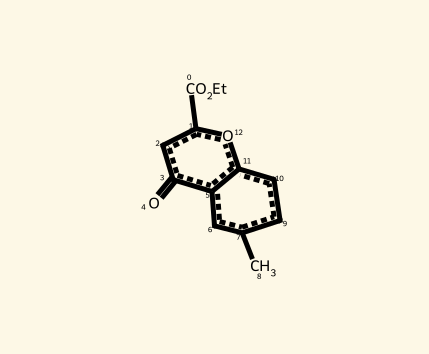 CCOC(=O)c1cc(=O)c2cc(C)ccc2o1